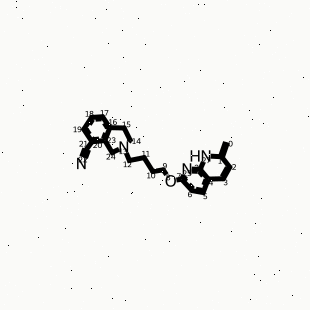 C=C1C=Cc2ccc(OCCCCN3CCc4cccc(C#N)c4C3)nc2N1